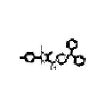 CCC(c1nc(-c2ccc(C)cc2)[nH]c1C)N1CCN(C(c2ccccc2)c2ccccc2)CC1